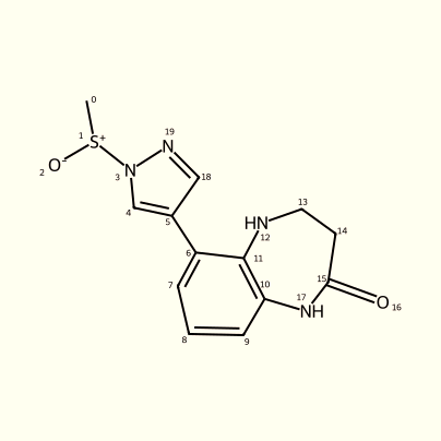 C[S+]([O-])n1cc(-c2cccc3c2NCCC(=O)N3)cn1